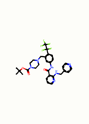 CC(C)(C)OC(=O)N1CCN(Cc2cc(NC(=O)c3cccnc3NCc3ccncc3)ccc2C(F)(F)C(F)(F)F)CC1